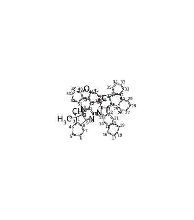 CC1(C)c2ccccc2-c2nc(-n3c4cc5ccccc5cc4c4c5c6ccccc6c6ccccc6c5ccc43)c(-c3cccc4oc5ccccc5c34)nc21